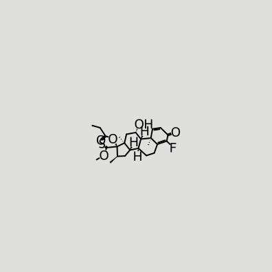 CCC(=O)O[C@]1(C(=S)OC)[C@H](C)C[C@H]2[C@@H]3CCC4=C(F)C(=O)C=C[C@]4(C)[C@H]3[C@@H](O)C[C@@]21C